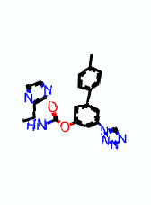 Cc1ccc(-c2cc(OC(=O)NC(C)c3cnccn3)cc(-n3cnnn3)c2)cc1